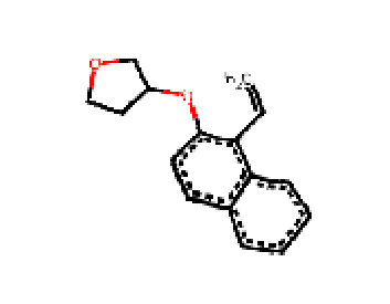 C=Cc1c(OC2CCOC2)ccc2ccccc12